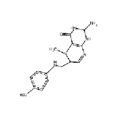 CCCCc1ccc(NCC2C=NC3=C(C(=O)NC(N)N3)N2C)cc1